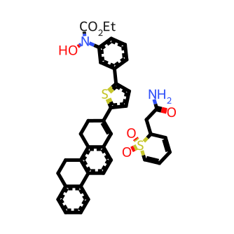 CCOC(=O)N(O)c1cccc(-c2ccc(C3=Cc4ccc5c(c4CC3)CCc3ccccc3-5)s2)c1.NC(=O)CC1C=CC=CS1(=O)=O